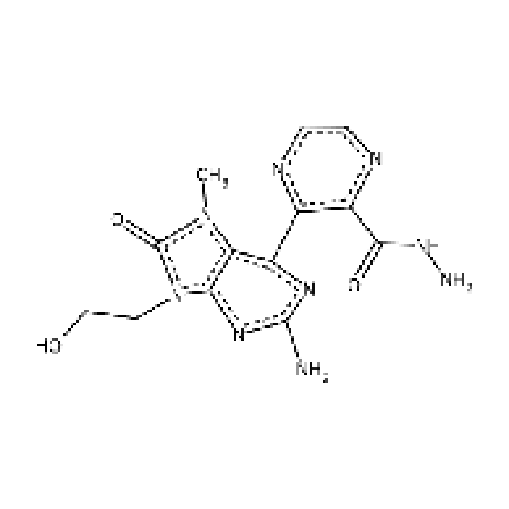 Cn1c(=O)n(CCO)c2nc(N)nc(-c3nccnc3C(=O)NN)c21